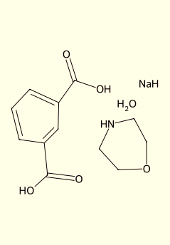 C1COCCN1.O.O=C(O)c1cccc(C(=O)O)c1.[NaH]